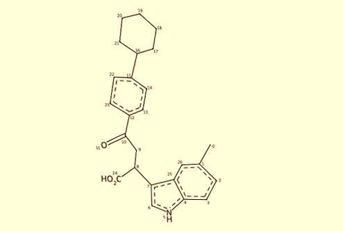 Cc1ccc2[nH]cc(C(CC(=O)c3ccc(C4CCCCC4)cc3)C(=O)O)c2c1